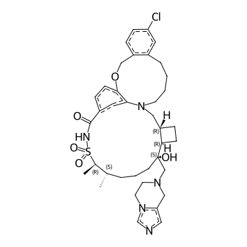 C[C@@H]1[C@@H](C)CCC[C@@](O)(CN2CCn3cncc3C2)[C@@H]2CC[C@H]2CN2CCCCc3cc(Cl)ccc3COc3ccc(cc32)C(=O)NS1(=O)=O